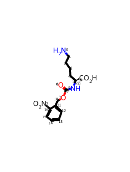 NCCCC[C@H](NC(=O)OCc1ccccc1[N+](=O)[O-])C(=O)O